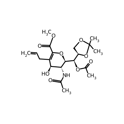 C=CCC1=C(C(=O)OC)O[C@@H]([C@H](OC(C)=O)[C@H]2COC(C)(C)O2)[C@H](NC(C)=O)[C@H]1O